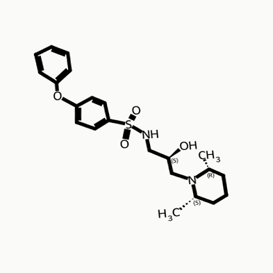 C[C@@H]1CCC[C@H](C)N1C[C@H](O)CNS(=O)(=O)c1ccc(Oc2ccccc2)cc1